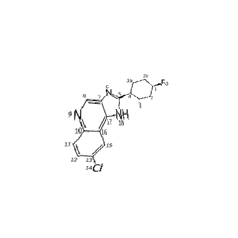 F[C@H]1CC[C@@H](c2nc3cnc4ccc(Cl)cc4c3[nH]2)CC1